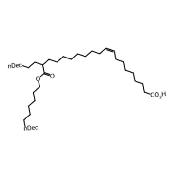 CCCCCCCCCCCCCCCCOC(=O)C(CCCCCCCC/C=C\CCCCCCCC(=O)O)CCCCCCCCCCCC